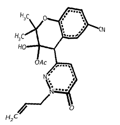 C=CCn1nc(C2c3cc(C#N)ccc3OC(C)(C)C2(O)OC(C)=O)ccc1=O